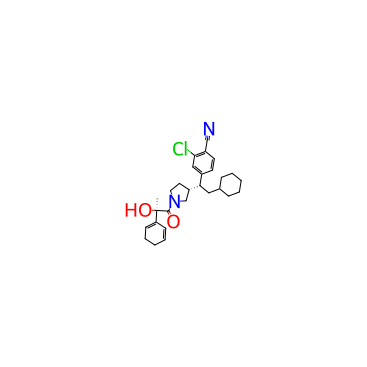 C[C@](O)(C(=O)N1CC[C@H](C(CC2CCCCC2)c2ccc(C#N)c(Cl)c2)C1)C1=CCCC=C1